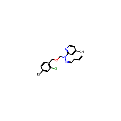 C=CC/C=N\N(COCc1ccc(CC)cc1Cl)c1cc(C#N)ccn1